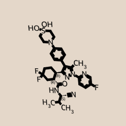 Cc1c(-c2ccc(N3CCS(O)(O)CC3)cc2)c([C@@H]2CCC(F)(F)C[C@H]2C(=O)N[C@H](C#N)C(C)C)nn1-c1ccc(F)cn1